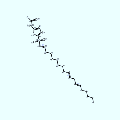 CCCCC/C=C/C/C=C/CCCCCCC/C=N/S(=O)(=O)c1nnc(NC(C)=O)s1